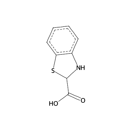 O=C(O)C1Nc2ccccc2S1